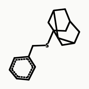 c1ccc(CSC23CC4CC(CC(C4)C2)C3)cc1